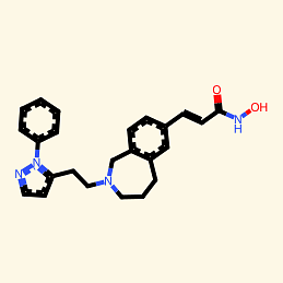 O=C(C=Cc1ccc2c(c1)CCCN(CCc1ccnn1-c1ccccc1)C2)NO